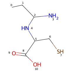 CCC(N)NC(CS)C(=O)O